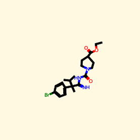 CCOC(=O)C1CCN(C(=O)NC(=N)C(C)(c2ccc(Br)cc2)C(C)C)CC1